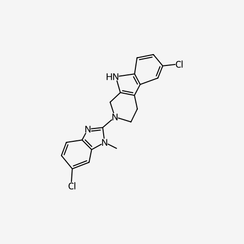 Cn1c(N2CCc3c([nH]c4ccc(Cl)cc34)C2)nc2ccc(Cl)cc21